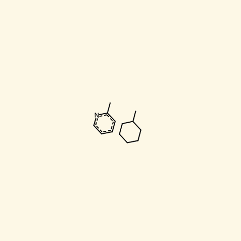 CC1CCCCC1.Cc1ccccn1